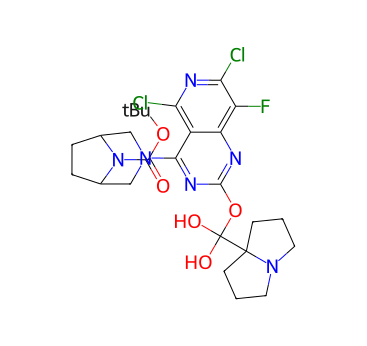 CC(C)(C)OC(=O)N1C2CCC1CN(c1nc(OC(O)(O)C34CCCN3CCC4)nc3c(F)c(Cl)nc(Cl)c13)C2